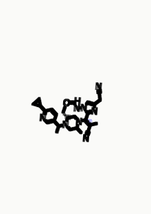 CC[C@@H]1CN(/C(=C(/C)C#N)c2nc(CC#N)cn2NC=O)C(C)CN1C(C)c1ccc(C2CC2)nc1